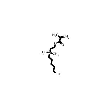 C=C(C)C(=O)OCC[N+](C)(C)CCCCCC